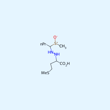 CCCC(NNC(CCSC)C(=O)O)[S+](C)[O-]